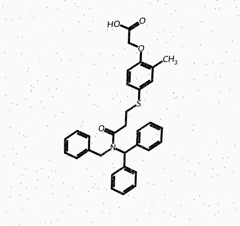 Cc1cc(SCCC(=O)N(Cc2ccccc2)C(c2ccccc2)c2ccccc2)ccc1OCC(=O)O